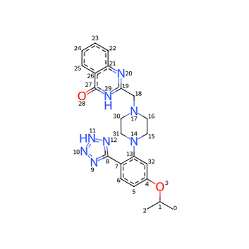 CC(C)Oc1ccc(-c2nn[nH]n2)c(N2CCN(Cc3nc4ccccc4c(=O)[nH]3)CC2)c1